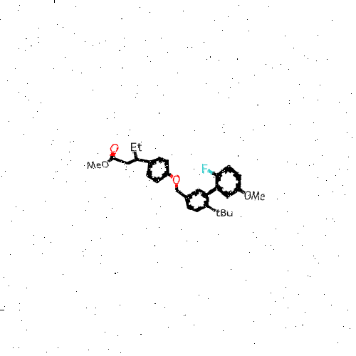 CCC(CC(=O)OC)c1ccc(OCc2ccc(C(C)(C)C)c(-c3cc(OC)ccc3F)c2)cc1